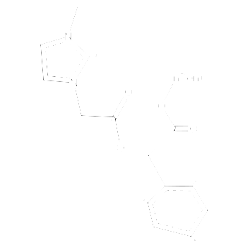 CCCCCOC(=O)[C@@H](OC(=O)C[n+]1ccn(C)c1)c1ccccc1